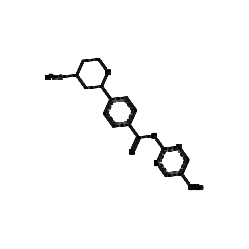 CCCCCC1CCOC(c2ccc(C(=O)Oc3ncc(OC)cn3)cc2)C1